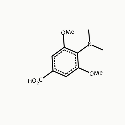 COc1cc(C(=O)O)cc(OC)c1N(C)C